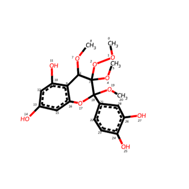 COOC1(OC)C(OC)c2c(O)cc(O)cc2OC1(OC)c1ccc(O)c(O)c1